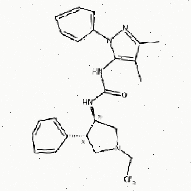 Cc1nn(-c2ccccc2)c(NC(=O)N[C@H]2CN(CC(F)(F)F)C[C@@H]2c2ccccc2)c1C